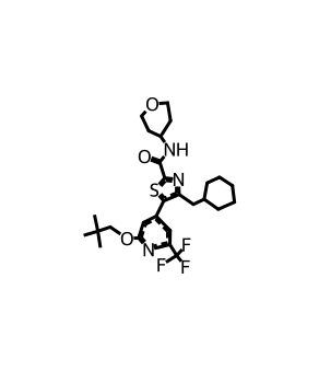 CC(C)(C)COc1cc(-c2sc(C(=O)NC3CCOCC3)nc2CC2CCCCC2)cc(C(F)(F)F)n1